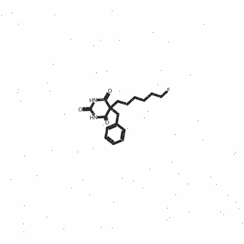 O=C1NC(=O)C(CCCCCCF)(Cc2ccccc2)C(=O)N1